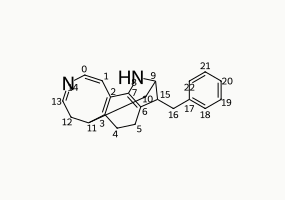 C1=CC2=C3CCC4=C2NC(CC3CC=N1)C4Cc1ccccc1